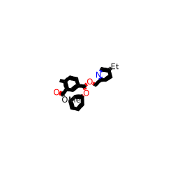 CCc1ccc(COC(Oc2ccccc2)c2ccc(C)c(C(=O)OC)c2)nc1